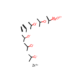 C=C.C=CC.CC(C)[O-].CC(C)[O-].CC(C)[O-].CC(C)[O-].CC(C)[O-].CC(C)[O-].[OH4+2].[Zr+4]